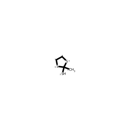 CC1(S)SCCS1